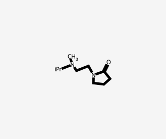 CC(C)N(C)CCN1CCCC1=O